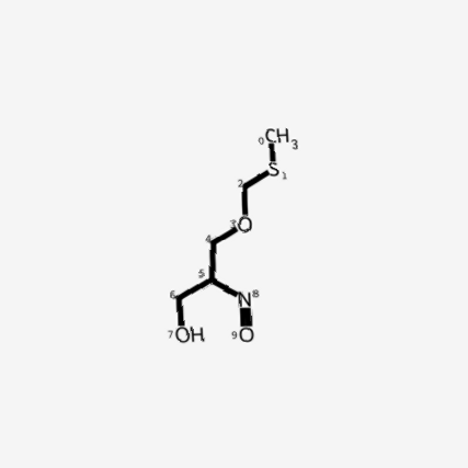 CSCOCC(CO)N=O